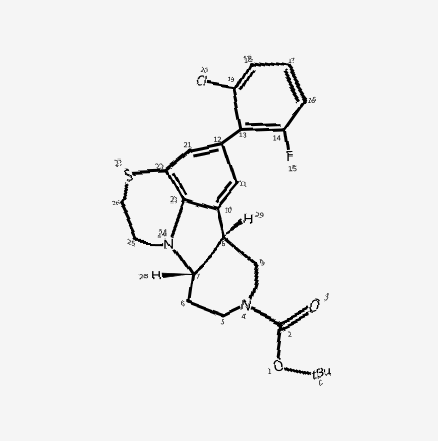 CC(C)(C)OC(=O)N1CC[C@H]2[C@@H](C1)c1cc(-c3c(F)cccc3Cl)cc3c1N2CCS3